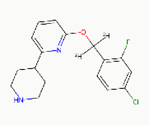 [2H]C([2H])(Oc1cccc(C2CCNCC2)n1)c1ccc(Cl)cc1F